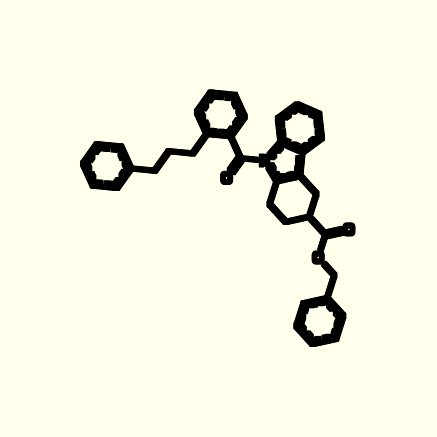 O=C(OCc1ccccc1)C1CCc2c(c3ccccc3n2C(=O)c2ccccc2CCCc2ccccc2)C1